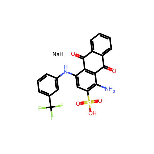 Nc1c(S(=O)(=O)O)cc(Nc2cccc(C(F)(F)F)c2)c2c1C(=O)c1ccccc1C2=O.[NaH]